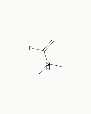 C=C(F)[SiH](C)C